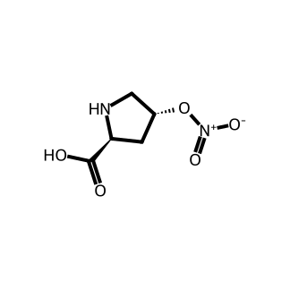 O=C(O)[C@@H]1C[C@@H](O[N+](=O)[O-])CN1